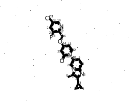 Cc1c(C2CC2)nc2ccc(-n3ccc(OCc4ncc(Cl)cc4F)cc3=O)cn12